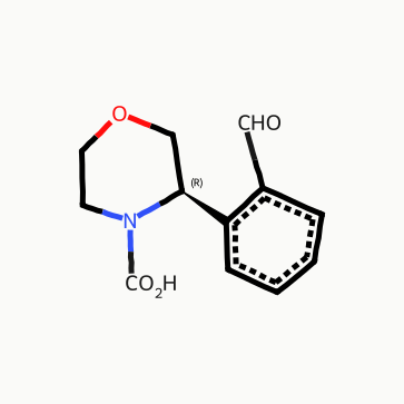 O=Cc1ccccc1[C@@H]1COCCN1C(=O)O